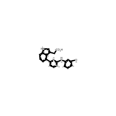 O=C(O)Cc1c[nH]c2cccc(-c3ccnc(Nc4cccc(Cl)c4)n3)c12